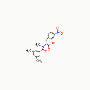 Cc1cc(C)cc(C(=O)N(C)[C@H](Cc2ccc([N+](=O)[O-])cc2)C(=O)O)c1